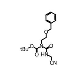 CC(C)(C)OC(=O)N(CCOCc1ccccc1)C(=O)NCC#N